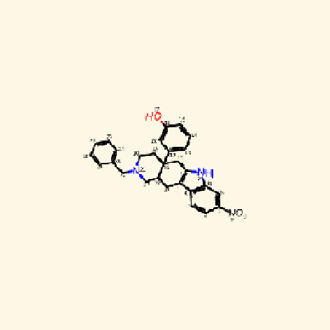 O=[N+]([O-])c1ccc2c3c([nH]c2c1)CC1(c2cccc(O)c2)CCN(Cc2ccccc2)CC1C3